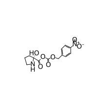 O=C(OCc1ccc([N+](=O)[O-])cc1)OC(=O)[C@]1(O)CCCN1